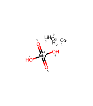 [CaH2].[Co].[LiH].[O]=[Mn](=[O])([OH])[OH]